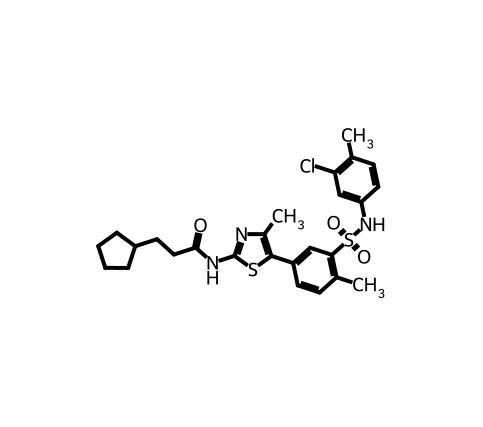 Cc1ccc(NS(=O)(=O)c2cc(-c3sc(NC(=O)CCC4CCCC4)nc3C)ccc2C)cc1Cl